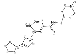 CN1CCC(CNC(=O)c2ccc(=O)n(-c3ncc(C4CCCC4)s3)c2)CC1